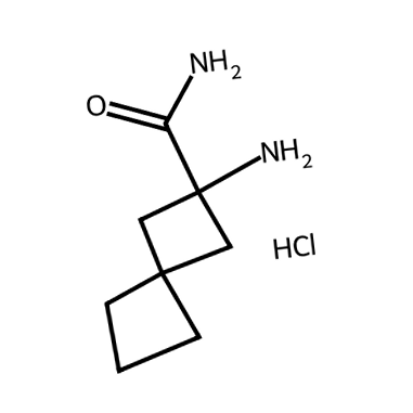 Cl.NC(=O)C1(N)CC2(CCC2)C1